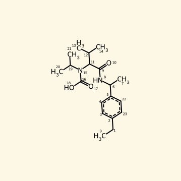 CCc1ccc(C(C)NC(=O)C(C(C)C)N(C(=O)O)C(C)C)cc1